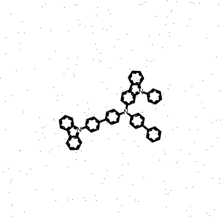 c1ccc(-c2ccc(N(c3ccc(-c4ccc(-n5c6ccccc6c6ccccc65)cc4)cc3)c3ccc4c5ccccc5n(-c5ccccc5)c4c3)cc2)cc1